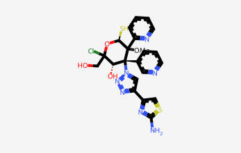 COC1(c2ccccn2)[C@H](S)OC(Cl)(CO)[C@@H](O)[C@@]1(c1cccnc1)n1cc(-c2csc(N)n2)nn1